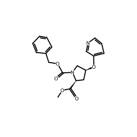 COC(=O)[C@@H]1C[C@H](Oc2cccnc2)CN1C(=O)OCc1ccccc1